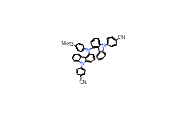 COc1ccc(N(c2cccc3c2c2ccccc2n3-c2ccc(C#N)cc2)c2cccc3c2c2ccccc2n3-c2ccc(C#N)cc2)cc1